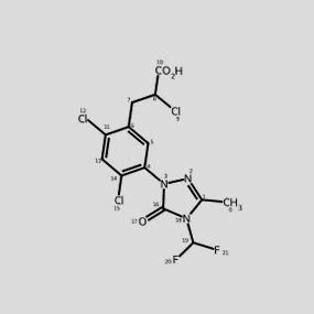 Cc1nn(-c2cc(CC(Cl)C(=O)O)c(Cl)cc2Cl)c(=O)n1C(F)F